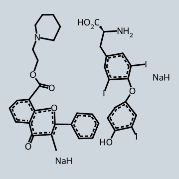 Cc1c(-c2ccccc2)oc2c(C(=O)OCCN3CCCCC3)cccc2c1=O.N[C@@H](Cc1cc(I)c(Oc2ccc(O)c(I)c2)c(I)c1)C(=O)O.[NaH].[NaH]